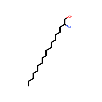 CCCCCCCCC=CCCCCC=CC(N)CO